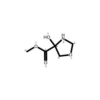 COC(=O)C1(O)COCN1